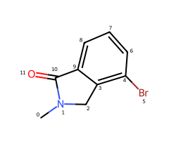 CN1Cc2c(Br)cccc2C1=O